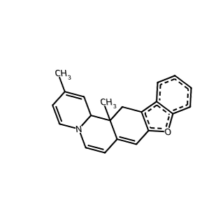 CC1=CC2N(C=C1)C=CC1=Cc3oc4ccccc4c3CC12C